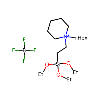 CCCCCC[N+]1(CC[Si](OCC)(OCC)OCC)CCCCC1.F[B-](F)(F)F